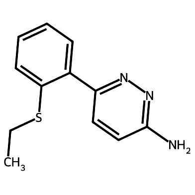 CCSc1ccccc1-c1ccc(N)nn1